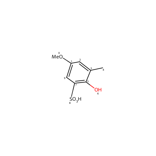 COc1cc(C)c(O)c(S(=O)(=O)O)c1